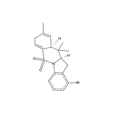 CC1=C[C@@H]2C(=CC1)S(=O)(=O)N1c3cccc(Br)c3C[C@@H]1C2(C)C